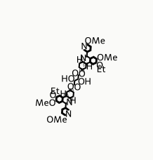 CCOc1cc2c(cc1OC)C(c1ccc(OC)nc1)=N[C@H]1CC[C@H](OC(=O)C(O)C(O)C(=O)O[C@H]3CC[C@@H]4N=C(c5ccc(OC)nc5)c5cc(OC)c(OCC)cc5[C@@H]4C3)C[C@@H]21